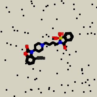 COc1cccc2oc(=O)n(C3CCN(CCCCN4C(=O)c5ccccc5S4(O)O)CC3)c12